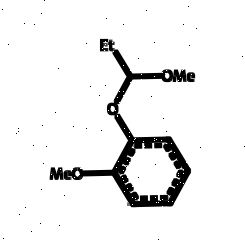 CCC(OC)Oc1ccc[c]c1OC